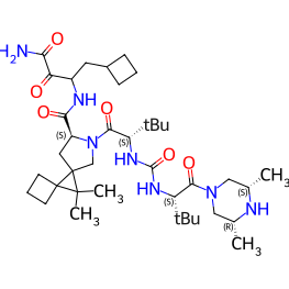 C[C@@H]1CN(C(=O)[C@@H](NC(=O)N[C@H](C(=O)N2CC3(C[C@H]2C(=O)NC(CC2CCC2)C(=O)C(N)=O)C(C)(C)C32CCC2)C(C)(C)C)C(C)(C)C)C[C@H](C)N1